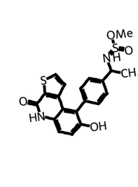 CO[SH](=O)=NC(C)c1ccc(-c2c(O)ccc3[nH]c(=O)c4sccc4c23)cc1